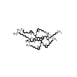 CCCCCCCCN1C(=O)/C(=C\c2cc3c(s2)-c2cc4c(cc2C3=C(SCc2ccc(CCCCCC)s2)SCc2ccc(CCCCCC)s2)-c2sc(CC3SC(=S)N(CCCCCCCC)C3=O)cc2C4=C(SCc2ccc(CCCCCC)s2)SCc2ccc(CCCCCC)s2)SC1=S